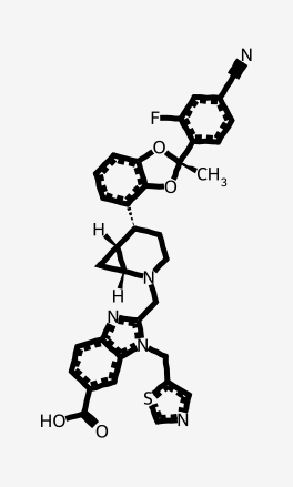 C[C@]1(c2ccc(C#N)cc2F)Oc2cccc([C@@H]3CCN(Cc4nc5ccc(C(=O)O)cc5n4Cc4cncs4)[C@@H]4C[C@@H]43)c2O1